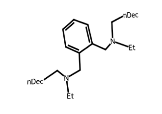 CCCCCCCCCCCN(CC)Cc1ccccc1CN(CC)CCCCCCCCCCC